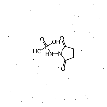 O=C1CCC(=O)N1NP(=O)(O)O